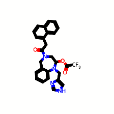 O=C(Cc1cccc2ccccc12)N1Cc2ccccc2N(Cc2c[nH]cn2)C(OC(=O)C(F)(F)F)C1